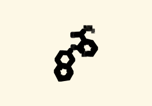 NC(=O)c1cccnc1OC1CCc2ccccc2C1